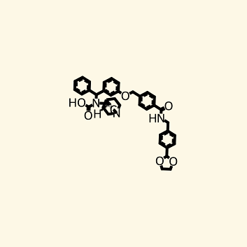 O=C(NCc1ccc(C2OCCO2)cc1)c1ccc(COc2cccc(C(c3ccccc3)N(C(=O)O)[C@H]3CN4CCC3CC4)c2)cc1